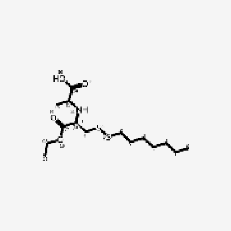 CCCCCCCSSC[C@H](NC(C)C(=O)O)C(=O)OCC